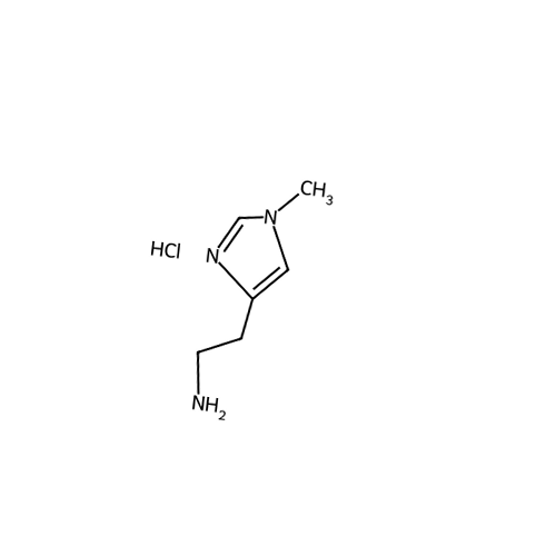 Cl.Cn1cnc(CCN)c1